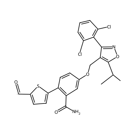 CC(C)c1onc(-c2c(Cl)cccc2Cl)c1COc1ccc(-c2ccc([C]=O)s2)c(C(N)=O)c1